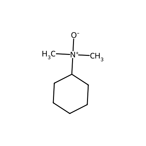 C[N+](C)([O-])C1CCCCC1